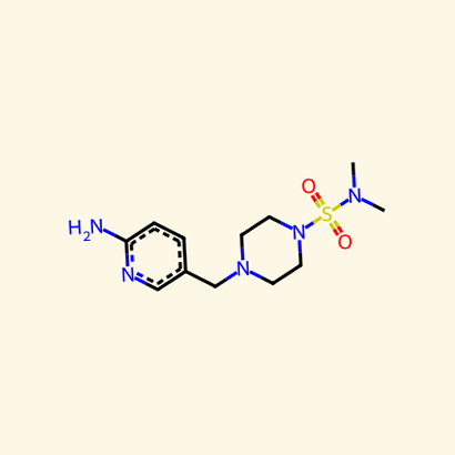 CN(C)S(=O)(=O)N1CCN(Cc2ccc(N)nc2)CC1